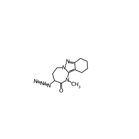 CN1C(=O)C(N=[N+]=[N-])CCn2nc3c(c21)CCCC3